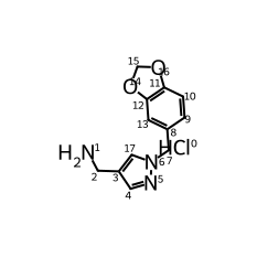 Cl.NCc1cnn(Cc2ccc3c(c2)OCO3)c1